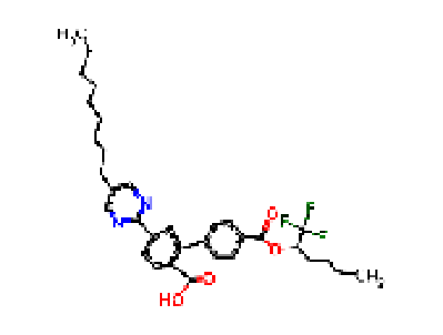 CCCCCCCCCc1cnc(-c2ccc(C(=O)O)c(-c3ccc(C(=O)OC(CCCC)C(F)(F)F)cc3)c2)nc1